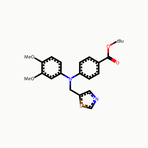 COc1ccc(N(Cc2cncs2)c2ccc(C(=O)OC(C)(C)C)cc2)cc1OC